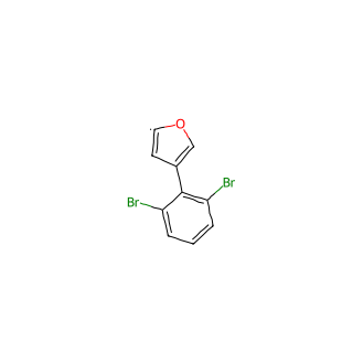 Brc1cccc(Br)c1-c1c[c]oc1